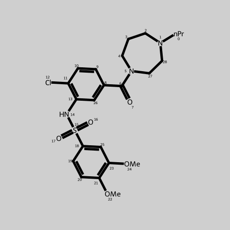 CCCN1CCCN(C(=O)c2ccc(Cl)c(NS(=O)(=O)c3ccc(OC)c(OC)c3)c2)CC1